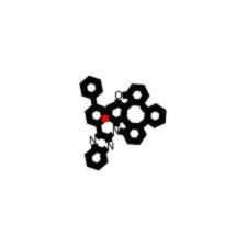 c1ccc(-c2ccc(-c3nc4ccccc4nc3-n3c4cccc5c6ccccc6c6cccc7oc8ccc3c(c8c76)c54)cc2)cc1